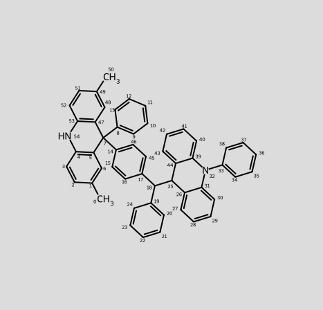 Cc1ccc2c(c1)C(c1ccccc1)(c1ccc(C(c3ccccc3)C3c4ccccc4N(c4ccccc4)c4ccccc43)cc1)c1cc(C)ccc1N2